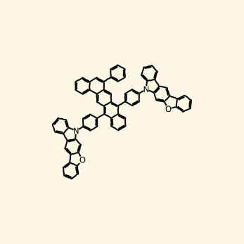 c1ccc(-c2cc3ccccc3c3cc4c(-c5ccc(-n6c7ccccc7c7cc8c(cc76)oc6ccccc68)cc5)c5ccccc5c(-c5ccc(-n6c7ccccc7c7cc8c(cc76)oc6ccccc68)cc5)c4cc23)cc1